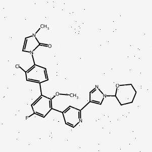 COc1c(-c2ccnc(-c3cnn(C4CCCCO4)c3)c2)cc(F)cc1-c1ccc(-n2ccn(C)c2=O)c(Cl)c1